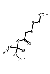 CCCOC(CC)(OCCC)OC(=O)CCCCC(=O)O